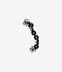 O=[N+]([O-])c1cn2c(n1)O[C@@H](COc1ccc(N3CCC(COCc4ccc(OC(F)(F)F)cc4)CC3)cc1)CC2